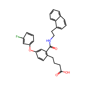 O=C(O)CCCc1ccc(Oc2cccc(F)c2)cc1C(=O)NCCc1cccc2ccccc12